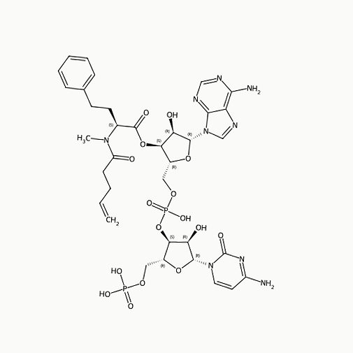 C=CCCC(=O)N(C)[C@@H](CCc1ccccc1)C(=O)O[C@H]1[C@@H](O)[C@H](n2cnc3c(N)ncnc32)O[C@@H]1COP(=O)(O)O[C@H]1[C@@H](O)[C@H](n2ccc(N)nc2=O)O[C@@H]1COP(=O)(O)O